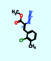 COC(=O)/C(=C/c1cccc(C)c1Cl)N=[N+]=[N-]